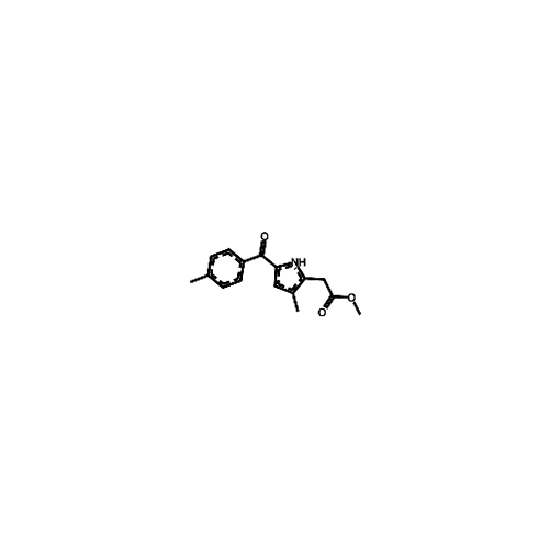 COC(=O)Cc1[nH]c(C(=O)c2ccc(C)cc2)cc1C